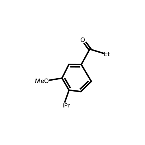 CCC(=O)c1ccc(C(C)C)c(OC)c1